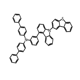 c1ccc(-c2ccc(N(c3ccc(-c4ccccc4)cc3)c3cccc(-c4cccc5c4c4ccccc4n5-c4ccc5sc6ccccc6c5c4)c3)cc2)cc1